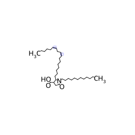 CCCCC/C=C\C/C=C\CCCCCCCC1C(C(=O)O)CC(=O)N1CCCCCCCCCCCC